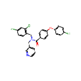 O=C(c1ccc(Oc2ccc(Cl)cc2)cc1)N(Cc1cccnc1)Cc1ccc(Cl)cc1Cl